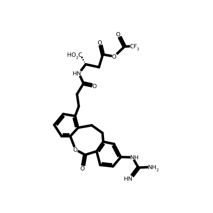 N=C(N)Nc1ccc2c(c1)CCc1c(CCC(=O)N[C@@H](CC(=O)OC(=O)C(F)(F)F)C(=O)O)cccc1OC2=O